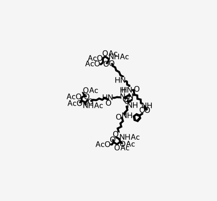 CC(=O)NC1C(OCCCCCCNCCCNC(=O)C(CCCCNC(=O)OCc2ccccc2)N(CC(=O)NCCCNC(=O)CCCCCOC2OC(COC(C)=O)C(OC(C)=O)C(OC(C)=O)C2NC(C)=O)CC(=O)NCCCNC(=O)CCCCCOC2OC(COC(C)=O)C(OC(C)=O)C(OC(C)=O)C2NC(C)=O)OC(COC(C)=O)C(OC(C)=O)C1OC(C)=O